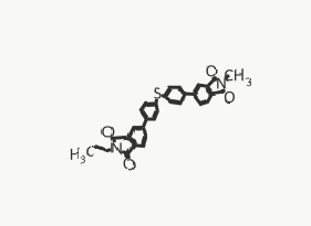 CCCN1C(=O)c2ccc(-c3ccc(Sc4ccc(-c5ccc6c(c5)C(=O)N(C)C6=O)cc4)cc3)cc2C1=O